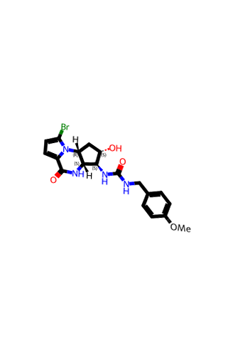 COc1ccc(CNC(=O)N[C@H]2[C@@H]3NC(=O)c4ccc(Br)n4[C@@H]3C[C@@H]2O)cc1